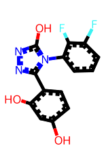 Oc1ccc(-c2nnc(O)n2-c2cccc(F)c2F)c(O)c1